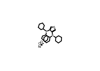 C=O.C=O.[Ni].c1scc(P(C2CCCCC2)C2CCCCC2)c1P(C1CCCCC1)C1CCCCC1